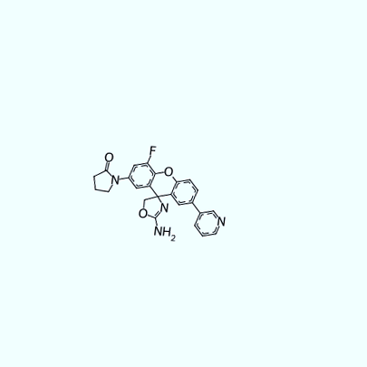 NC1=NC2(CO1)c1cc(-c3cccnc3)ccc1Oc1c(F)cc(N3CCCC3=O)cc12